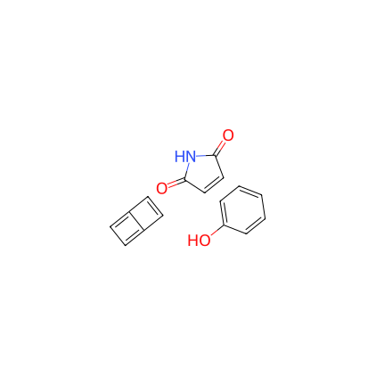 O=C1C=CC(=O)N1.Oc1ccccc1.c1cc2ccc1-2